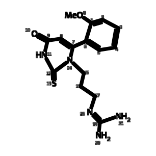 COc1ccccc1-c1cc(=O)[nH]c(=S)n1CCCN=C(N)N